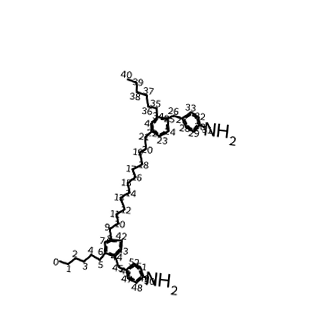 CCCCCCc1cc(CCCCCCCCCCCCCc2ccc(Cc3ccc(N)cc3)c(CCCCCC)c2)ccc1Cc1ccc(N)cc1